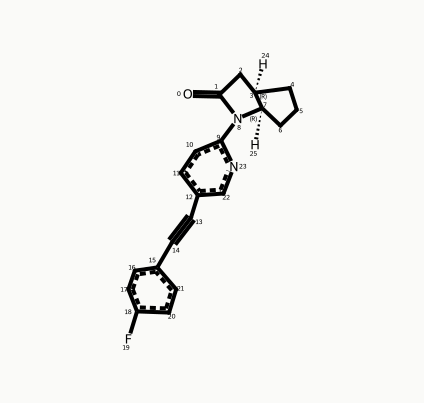 O=C1C[C@H]2CCC[C@H]2N1c1ccc(C#Cc2ccc(F)cc2)cn1